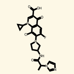 CC(C(=O)NC1CCN(c2c(F)cc3c(=O)c(C(=O)O)cn(C4CC4)c3c2Cl)C1)n1ccnc1